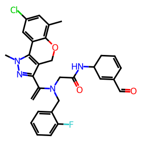 C=C(c1nn(C)c2c1COc1c(C)cc(Cl)cc1-2)N(CC(=O)NC1C=C(C=O)C=CC1)Cc1ccccc1F